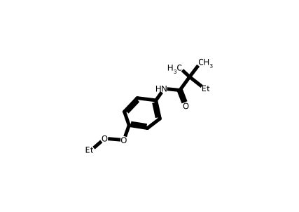 CCOOc1ccc(NC(=O)C(C)(C)CC)cc1